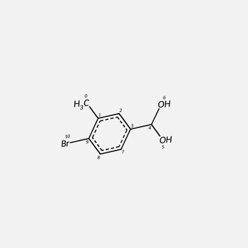 Cc1cc(C(O)O)ccc1Br